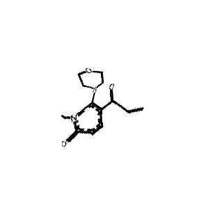 CCC(=O)c1ccc(=O)n(C)c1N1CCOCC1